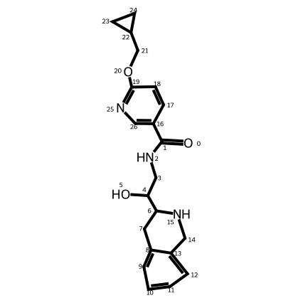 O=C(NCC(O)C1Cc2ccccc2CN1)c1ccc(OCC2CC2)nc1